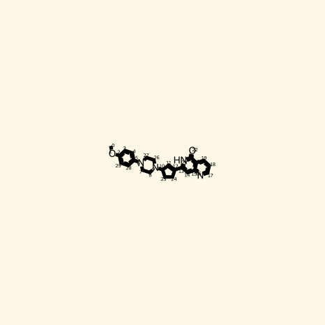 COc1ccc(N2CCN(C3C=C(c4cc5ncccc5c(=O)[nH]4)CC3)CC2)cc1